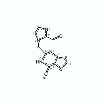 O=Cc1nccn1Cc1nc2ccsc2c(=O)[nH]1